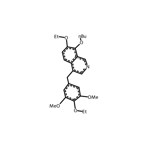 CCCCOc1c(OCC)ccc2c(Cc3cc(OC)c(OCC)c(OC)c3)cncc12